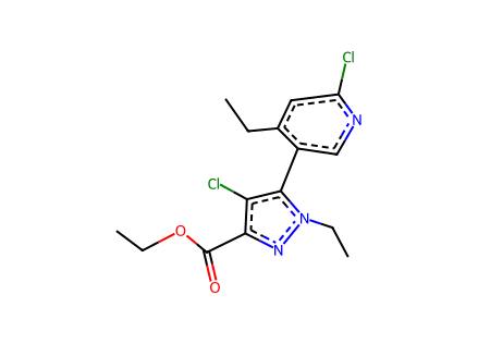 CCOC(=O)c1nn(CC)c(-c2cnc(Cl)cc2CC)c1Cl